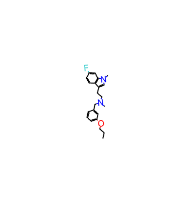 CCCOc1cccc(CN(C)CCc2cn(C)c3cc(F)ccc23)c1